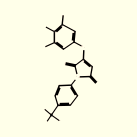 Cc1c(F)cc(NC2=CC(=O)N(c3ccc(C(F)(F)F)cc3)C2=O)cc1F